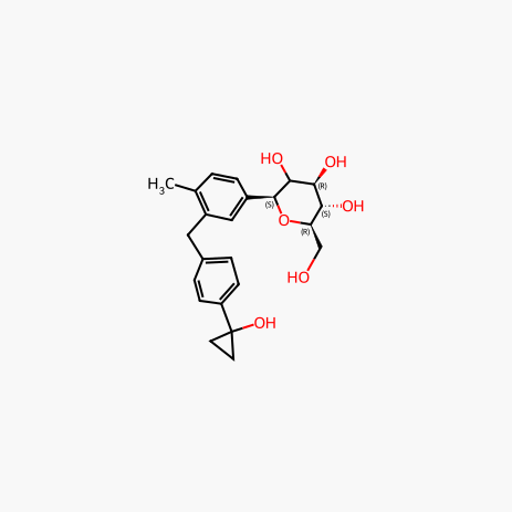 Cc1ccc([C@@H]2O[C@H](CO)[C@@H](O)[C@H](O)C2O)cc1Cc1ccc(C2(O)CC2)cc1